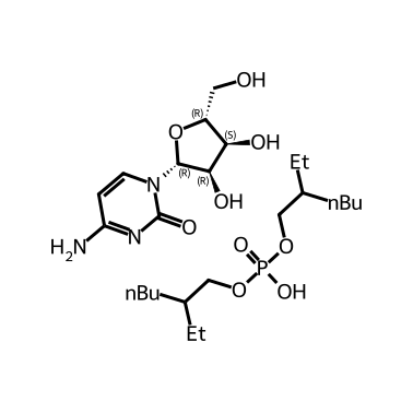 CCCCC(CC)COP(=O)(O)OCC(CC)CCCC.Nc1ccn([C@@H]2O[C@H](CO)[C@@H](O)[C@H]2O)c(=O)n1